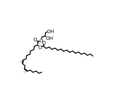 CCCCC/C=C\C/C=C\CCCCCCC(OC(=O)CCCCCCCCCCCCCCCCC)C(=O)OCC(O)CO